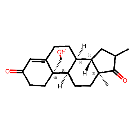 CC1C[C@H]2[C@@H]3CCC4=CC(=O)CC[C@]4(CO)[C@@H]3CC[C@]2(C)C1=O